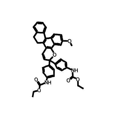 CCOC(=O)Nc1ccc(C2(c3ccc(NC(=O)OCC)cc3)C=Cc3c4c(c5ccc(OC)cc5c3O2)-c2ccccc2CC4)cc1